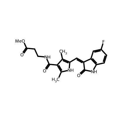 COC(=O)CCNC(=O)c1c(C)[nH]c(C=C2C(=O)Nc3ccc(F)cc32)c1C